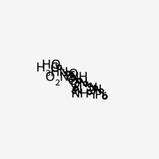 CC(C)c1ccccc1C1CN(C2CCC(c3ccccc3)C2)CCN1C1CC2(CCN(c3ccc(C(=O)NS(=O)(=O)c4ccc(NC[C@H]5CC[C@](C)(O)CC5)c([N+](=O)[O-])c4)c(Oc4cnc5[nH]ccc5c4)c3)CC2)C1